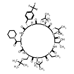 CCN1C(=O)N[C@@H]([C@@H](C)O)C(=O)N(C)[C@@H](CC(C)C)C(=O)N(C)[C@@H](CC(C)C)C(=O)N[C@@H](Cc2ccc(C(F)(F)F)cc2)C(=O)NCC(C(=O)N2CCCCC2)CC(=O)N[C@H](COC(C)(C)C)C(=O)N(C)[C@@H](CC(C)C)C1=O